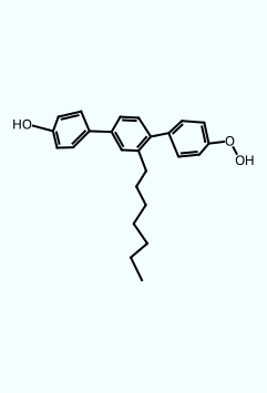 CCCCCCCc1cc(-c2ccc(O)cc2)ccc1-c1ccc(OO)cc1